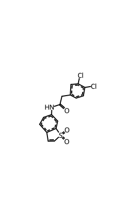 O=C(Cc1ccc(Cl)c(Cl)c1)Nc1ccc2c(c1)S(=O)(=O)C=C2